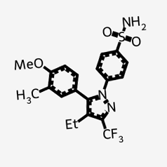 CCc1c(C(F)(F)F)nn(-c2ccc(S(N)(=O)=O)cc2)c1-c1ccc(OC)c(C)c1